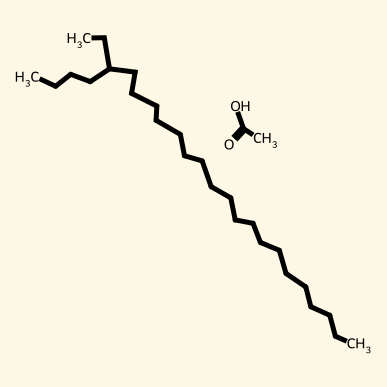 CC(=O)O.CCCCCCCCCCCCCCCCCCCC(CC)CCCC